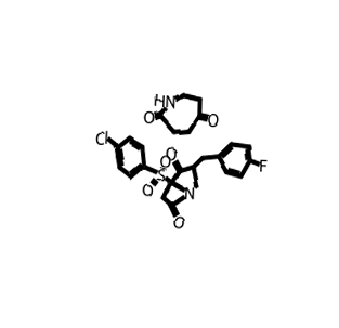 O=C1CC2(S(=O)(=O)c3ccc(Cl)cc3)C(=O)C(Cc3ccc(F)cc3)CN12.O=C1CCNC(=O)CC1